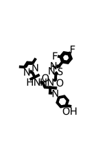 Cc1cc(C)nc(C(C)(C)NC(=O)CC2(NC(=O)c3nnc(-c4ccc(F)cc4F)s3)CN(C3CCC(C)(O)CC3)C2)n1